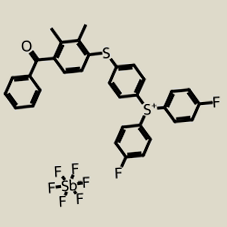 Cc1c(Sc2ccc([S+](c3ccc(F)cc3)c3ccc(F)cc3)cc2)ccc(C(=O)c2ccccc2)c1C.[F][Sb-]([F])([F])([F])([F])[F]